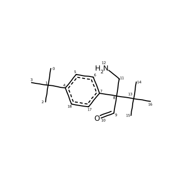 CC(C)(C)c1ccc(C(C=O)(CN)C(C)(C)C)cc1